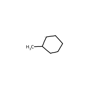 CC1[CH]CCCC1